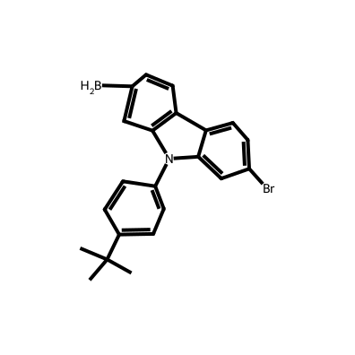 Bc1ccc2c3ccc(Br)cc3n(-c3ccc(C(C)(C)C)cc3)c2c1